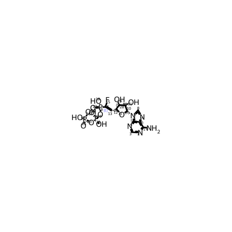 Nc1ncnc2c1ncn2[C@@H]1O[C@H](/C=C(\F)P(=O)(O)OP(=O)(O)OP(=O)(O)O)[C@@H](O)[C@H]1O